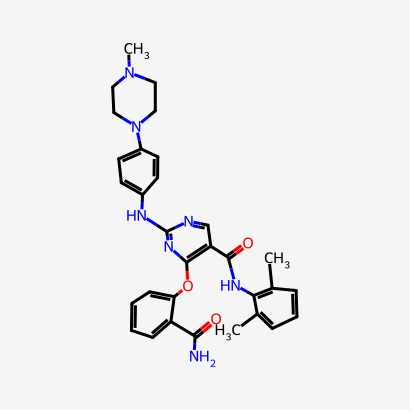 Cc1cccc(C)c1NC(=O)c1cnc(Nc2ccc(N3CCN(C)CC3)cc2)nc1Oc1ccccc1C(N)=O